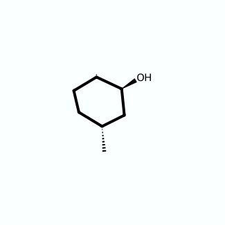 C[C@@H]1CC[CH][C@@H](O)C1